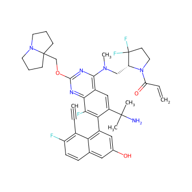 C#Cc1c(F)ccc2cc(O)cc(-c3c(C(C)(C)N)cc4c(N(C)C[C@H]5N(C(=O)C=C)CCC5(F)F)nc(OCC56CCCN5CCC6)nc4c3F)c12